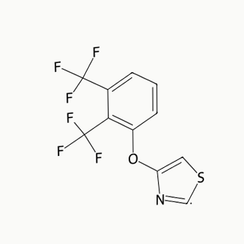 FC(F)(F)c1cccc(Oc2cs[c]n2)c1C(F)(F)F